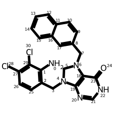 Nc1c(CN2CN(Cc3ccc4ccccc4c3)c3c2nc[nH]c3=O)ccc(Cl)c1Cl